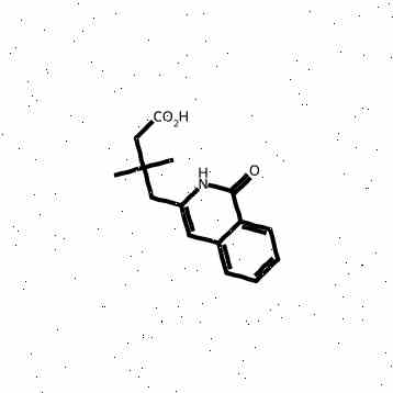 CC(C)(CC(=O)O)Cc1cc2ccccc2c(=O)[nH]1